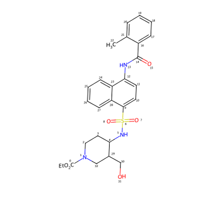 CCOC(=O)N1CCC(NS(=O)(=O)c2ccc(NC(=O)c3ccccc3C)c3ccccc23)C(CO)C1